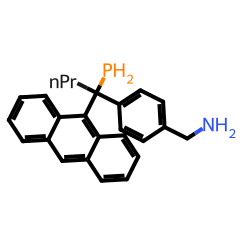 [CH2]CCC(P)(c1ccc(CN)cc1)c1c2ccccc2cc2ccccc12